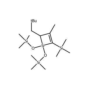 CC1=C([Si](C)(C)C)[Si](O[Si](C)(C)C)(O[Si](C)(C)C)C1CC(C)(C)C